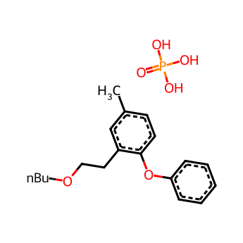 CCCCOCCc1cc(C)ccc1Oc1ccccc1.O=P(O)(O)O